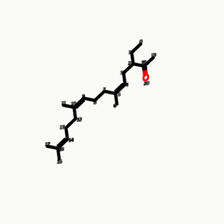 CCC(C/C=C(/C)CCC=C(C)CCC=C(C)C)C(C)=O